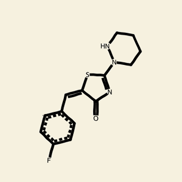 O=C1N=C(N2CCCCN2)S/C1=C/c1[c]cc(F)cc1